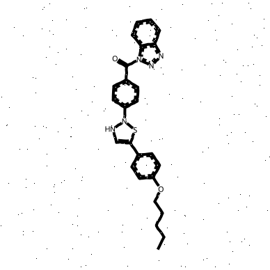 CCCCCOc1ccc(C2=CNN(c3ccc(C(=O)n4nnc5ccccc54)cc3)S2)cc1